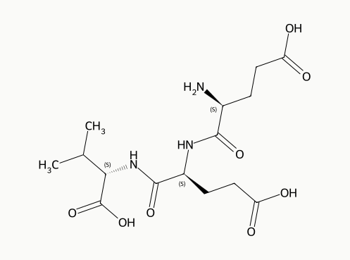 CC(C)[C@H](NC(=O)[C@H](CCC(=O)O)NC(=O)[C@@H](N)CCC(=O)O)C(=O)O